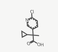 CC(C(=O)O)(c1ccc(Cl)nc1)C1CC1